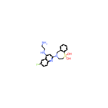 NCCNc1cc(N2CCS(O)(O)c3ccccc3C2)nc2ccc(F)cc12